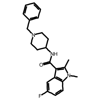 Cc1c(C(=O)NC2CCN(Cc3ccccc3)CC2)c2cc(F)ccc2n1C